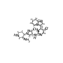 Cc1nn(C2CCNCC2N)cc1Nc1ncc(Cl)c(-c2cnc3ccccn23)n1